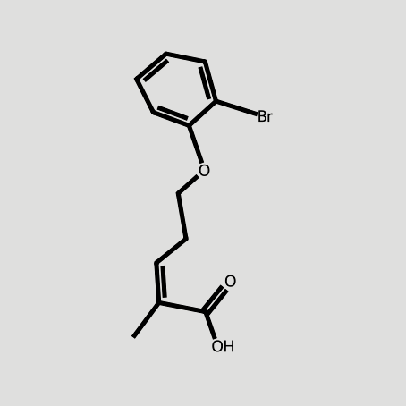 CC(=CCCOc1ccccc1Br)C(=O)O